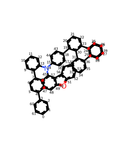 c1ccc(-c2ccc(-c3ccccc3N(c3ccc(-c4cccc(-c5ccccc5)c4-c4ccccc4-c4ccccc4)cc3)c3cccc4oc5ccccc5c34)cc2)cc1